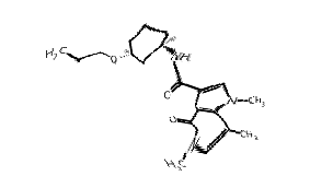 CCCO[C@@H]1CCC[C@@H](NC(=O)c2cn(C)c3c(C)cn(C)c(=O)c23)C1